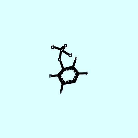 O=P(Cl)(Cl)Oc1c(F)c(F)cc(F)c1F